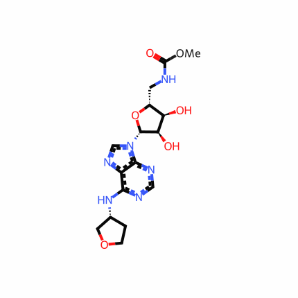 COC(=O)NC[C@H]1O[C@@H](n2cnc3c(N[C@@H]4CCOC4)ncnc32)[C@H](O)[C@@H]1O